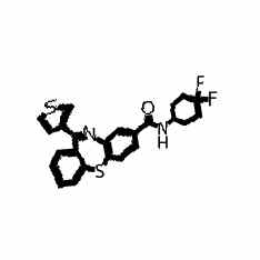 O=C(NC1CCC(F)(F)CC1)c1ccc2c(c1)N=C(c1ccsc1)c1ccccc1S2